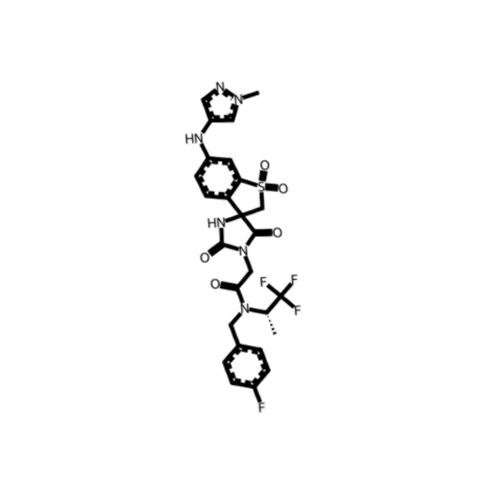 C[C@H](N(Cc1ccc(F)cc1)C(=O)CN1C(=O)NC2(CS(=O)(=O)c3cc(Nc4cnn(C)c4)ccc32)C1=O)C(F)(F)F